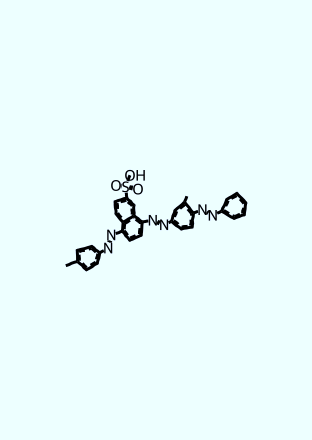 Cc1ccc(N=Nc2ccc(N=Nc3ccc(N=Nc4ccccc4)c(C)c3)c3cc(S(=O)(=O)O)ccc23)cc1